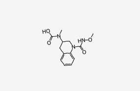 CONC(=O)N1CC(N(C)C(=O)O)Cc2ccccc21